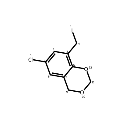 Clc1cc(CI)c2c(c1)COCO2